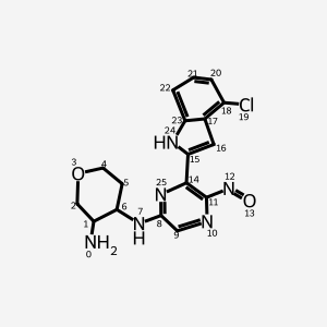 NC1COCCC1Nc1cnc(N=O)c(-c2cc3c(Cl)cccc3[nH]2)n1